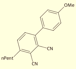 CCCCCc1ccc(-c2ccc(OC)cc2)c(C#N)c1C#N